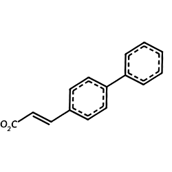 CCOC(=O)C=Cc1ccc(-c2ccccc2)cc1